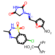 CC1=Nc2ccc(Cl)cc2S(=O)(=O)N1.CCCC(CCC)C(=O)O.O=C1CN(/N=C/c2ccc([N+](=O)[O-])o2)C(=O)N1